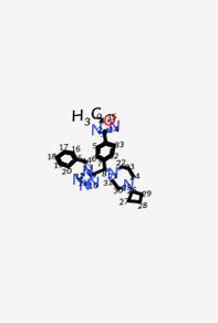 Cc1nc(-c2ccc(C(c3nnnn3Cc3ccccc3)N3CCCN(C4CCC4)CC3)cc2)no1